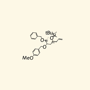 C=CC[C@@H](CC(OCc1ccc(OC)cc1)[C@@H](C)OCc1ccccc1)O[Si](C)(C)C(C)(C)C